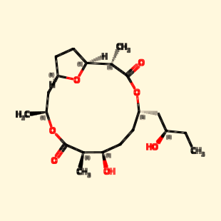 CC[C@@H](O)C[C@@H]1CC[C@@H](O)[C@@H](C)C(=O)O[C@@H](C)C[C@H]2CC[C@H](O2)[C@H](C)C(=O)O1